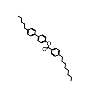 CCCCCCCCc1ccc(C(=O)Oc2ccc(-c3ccc(CCCCC)cc3)cc2)cc1